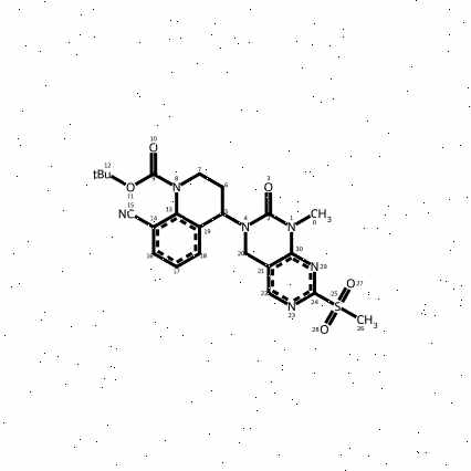 CN1C(=O)N(C2CCN(C(=O)OC(C)(C)C)c3c(C#N)cccc32)Cc2cnc(S(C)(=O)=O)nc21